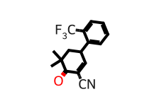 CC1(C)CC(c2ccccc2C(F)(F)F)C=C(C#N)C1=O